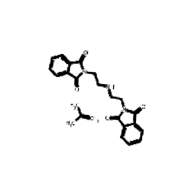 C=C(C)C.O=C1c2ccccc2C(=O)N1CCNCCN1C(=O)c2ccccc2C1=O